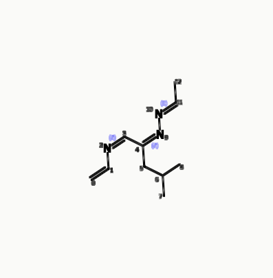 C=C\N=C/C(CC(C)C)=N\N=C\C